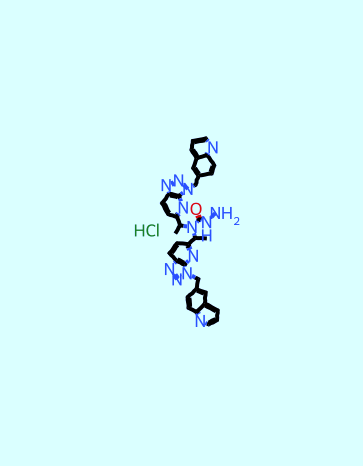 CC(c1ccc2nnn(Cc3ccc4ncccc4c3)c2n1)N(C(=O)NN)C(C)c1ccc2nnn(Cc3ccc4ncccc4c3)c2n1.Cl